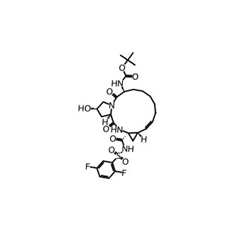 CC(C)(C)OC(=O)N[C@H]1CCCCC/C=C\[C@@H]2C[C@@]2(C(=O)NS(=O)(=O)c2cc(F)ccc2F)NC(=O)[C@@H]2C[C@@H](O)CN2C1=O